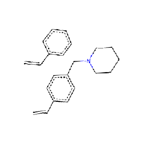 C=Cc1ccc(CN2CCCCC2)cc1.C=Cc1ccccc1